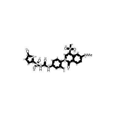 CNc1ccc2c(=O)n(-c3ccc(NC(=O)NS(=O)(=O)c4ccc(Cl)s4)cc3F)cc(S(C)(=O)=O)c2c1